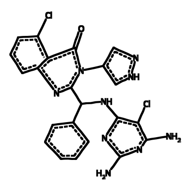 Nc1nc(N)c(Cl)c(NC(c2ccccc2)c2nc3cccc(Cl)c3c(=O)n2-c2cn[nH]c2)n1